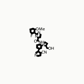 COc1cccc(F)c1-c1nccc(C(=O)Nc2ccc(-c3cnccc3C#N)cc2N2CCC2CO)n1